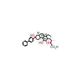 C[C@H](CCC(=O)O)[C@H]1CC[C@H]2[C@@H]3CC[C@@H]4C[C@@](O)(c5ccc(-c6ccccc6)cc5)CC[C@]4(C)[C@H]3C(O)C(O)[C@]12C